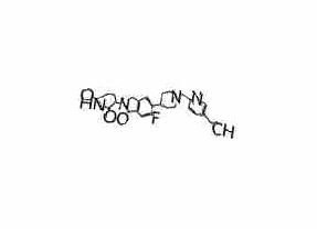 C#Cc1ccc(CN2CCC(c3cc4c(cc3F)C(=O)N(C3CCC(=O)NC3=O)C4)CC2)nc1